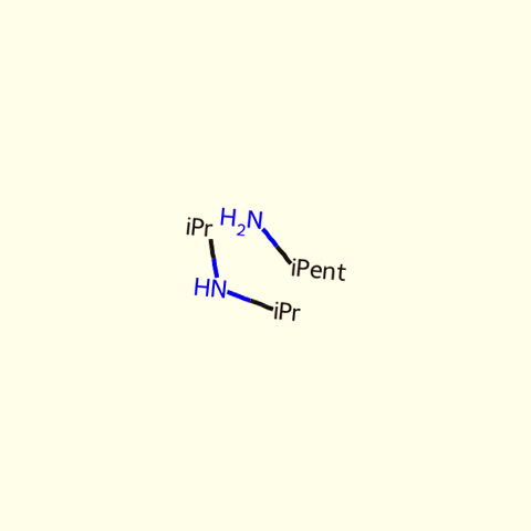 CC(C)NC(C)C.CCCC(C)N